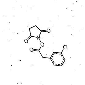 O=C(Cc1cccc(Cl)c1)ON1C(=O)CCC1=O